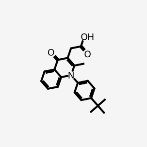 Cc1c(CC(=O)O)c(=O)c2ccccc2n1-c1ccc(C(C)(C)C)cc1